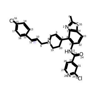 Cc1nc2c(C3=CCN(C/C=C/c4ccc(Cl)cc4)CC3)c(NC(=O)c3ccnc(Cl)c3)ccc2s1